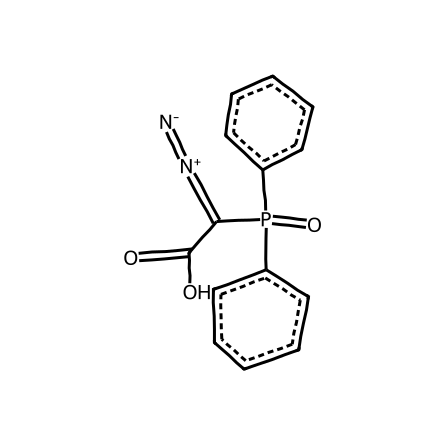 [N-]=[N+]=C(C(=O)O)P(=O)(c1ccccc1)c1ccccc1